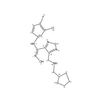 O/N=C(/Nc1ccc(F)c(Cl)c1)c1nonc1CNCC1CCCO1